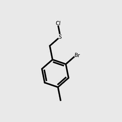 Cc1ccc(CSCl)c(Br)c1